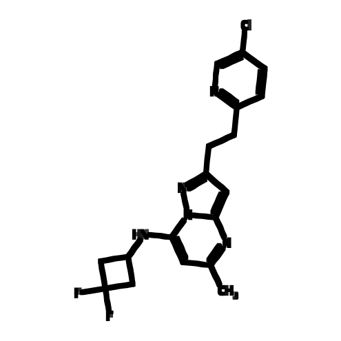 Cc1cc(NC2CC(F)(F)C2)n2nc(CCc3ccc(Cl)cn3)cc2n1